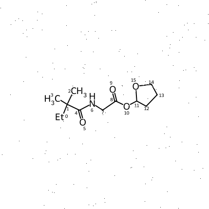 CCC(C)(C)C(=O)NCC(=O)OC1CCCO1